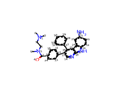 CN(C)CCN(C)C(=O)c1ccc(-c2cnc3[nH]c4ccc(N)cc4c3c2-c2ccccc2)cc1